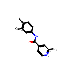 Cc1ccc(NC(=O)c2ccnc(C(F)(F)F)c2)cc1C(C)(C)C